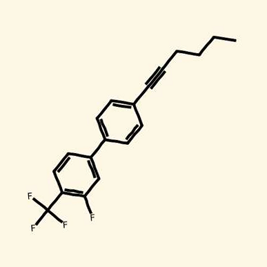 CCCCC#Cc1ccc(-c2ccc(C(F)(F)F)c(F)c2)cc1